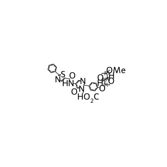 CO[C@@H]1CO[C@H]2[C@@H]1OC[C@H]2Oc1ccc(-c2ncc(NC(=O)c3cnc(-c4ccccc4)s3)c(=O)n2CC(=O)O)cc1